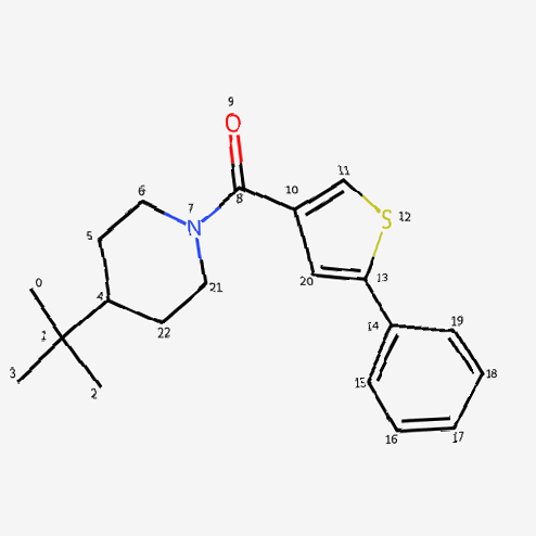 CC(C)(C)C1CCN(C(=O)c2csc(-c3ccccc3)c2)CC1